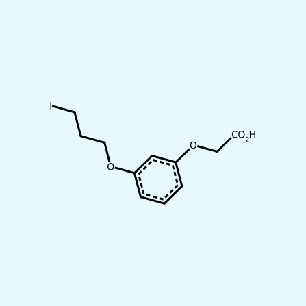 O=C(O)COc1cccc(OCCCI)c1